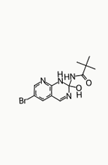 CC(C)(C)C(=O)NC1(O)N=Cc2cc(Br)cnc2N1